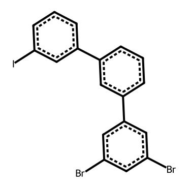 Brc1cc(Br)cc(-c2cccc(-c3cccc(I)c3)c2)c1